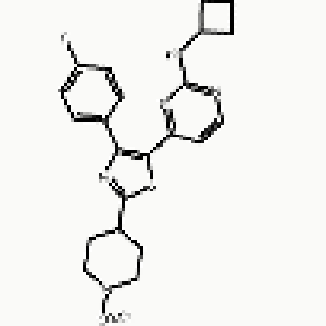 CCOC(=O)N1CCC(c2nc(-c3ccc(F)cc3)c(-c3ccnc(NC4CCC4)n3)s2)CC1